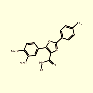 CCNC(=O)c1nc(-c2ccc(C(F)(F)F)cc2)oc1-c1ccc(OC)c(OC)c1